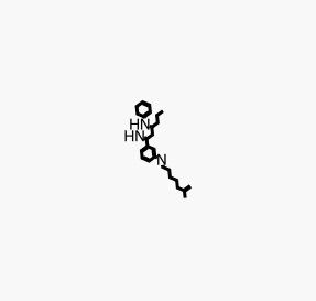 C=C(C)CCCC/C=N/c1cccc(C(=N)CC(CCC)NC2=CC=CCC2)c1